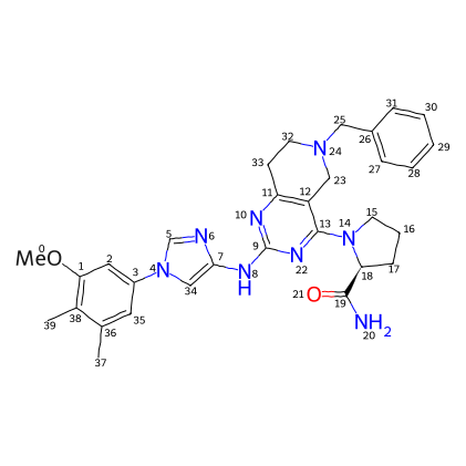 COc1cc(-n2cnc(Nc3nc4c(c(N5CCC[C@H]5C(N)=O)n3)CN(Cc3ccccc3)CC4)c2)cc(C)c1C